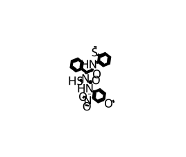 COc1ccc(NC(=O)N(S)C(C(=O)Nc2ccccc2SC)c2ccccc2)c([N+](=O)[O-])c1